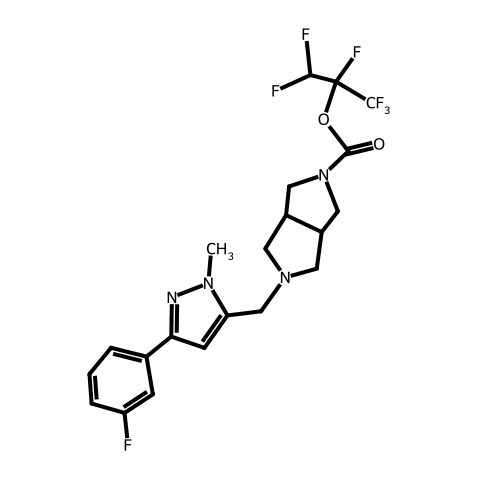 Cn1nc(-c2cccc(F)c2)cc1CN1CC2CN(C(=O)OC(F)(C(F)F)C(F)(F)F)CC2C1